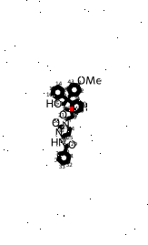 COc1ccc(C(c2ccccc2)(c2ccccc2)C(O)[C@H]2O[C@@H](n3ccc(NC(=O)c4ccccc4)nc3=O)C[C@@H]2O)cc1